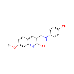 CCOc1ccc2cc(CNc3ccc(O)cc3)c(O)nc2c1